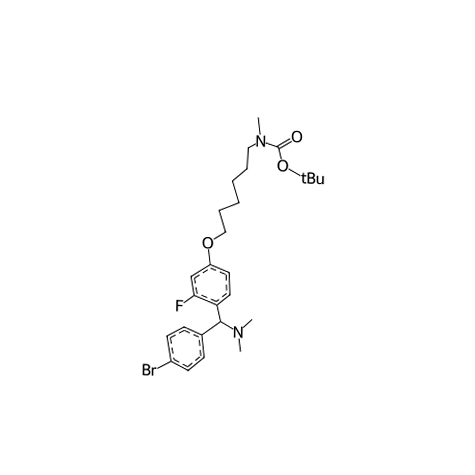 CN(CCCCCCOc1ccc(C(c2ccc(Br)cc2)N(C)C)c(F)c1)C(=O)OC(C)(C)C